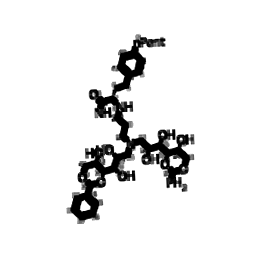 CCCCCc1ccc(CC[C@H](NCCCN(C[C@H](O)[C@@H](O)[C@@H]2OC(P)OC[C@H]2O)C[C@H](O)[C@@H](O)[C@@H]2OC(c3ccccc3)OC[C@H]2O)C(N)=O)cc1